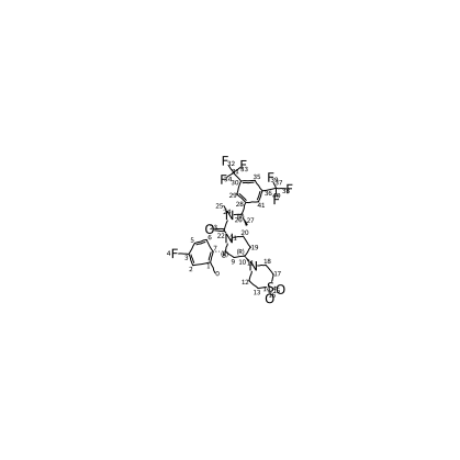 Cc1cc(F)ccc1[C@H]1C[C@H](N2CCS(=O)(=O)CC2)CCN1C(=O)N(C)[C@H](C)c1cc(C(F)(F)F)cc(C(F)(F)F)c1